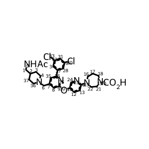 CC(=O)NCC1CCN(Cc2cc(Oc3ccc(N4CCCN(C(=O)O)CC4)nc3)nc(-c3cc(Cl)cc(Cl)c3)c2)CC1